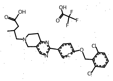 CC(CC(=O)O)CN1CCc2nc(-c3ccc(OCc4c(Cl)cccc4Cl)cc3)ncc2C1.O=C(O)C(F)(F)F